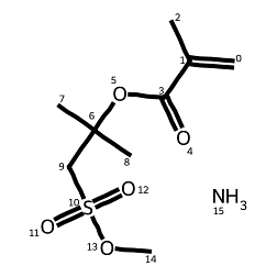 C=C(C)C(=O)OC(C)(C)CS(=O)(=O)OC.N